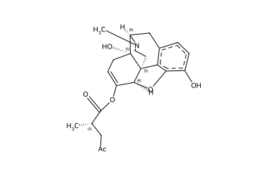 CC(=O)C[C@H](C)C(=O)OC1=CC[C@@]2(O)[C@H]3Cc4ccc(O)c5c4[C@@]2(CCN3C)[C@H]1O5